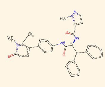 Cc1c(-c2ccc(NC(=O)[C@@H](NC(=O)c3ccnn3C)C(c3ccccc3)c3ccccc3)cc2)ccc(=O)n1C